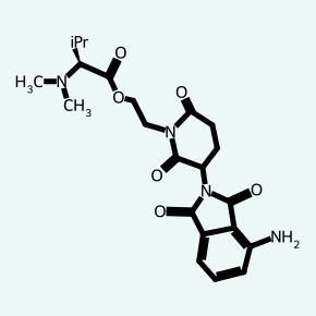 CC(C)[C@@H](C(=O)OCCN1C(=O)CCC(N2C(=O)c3cccc(N)c3C2=O)C1=O)N(C)C